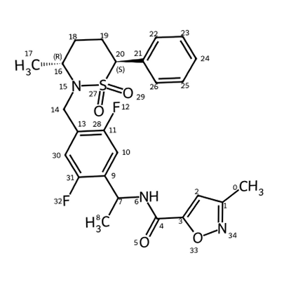 Cc1cc(C(=O)NC(C)c2cc(F)c(CN3[C@H](C)CC[C@@H](c4ccccc4)S3(=O)=O)cc2F)on1